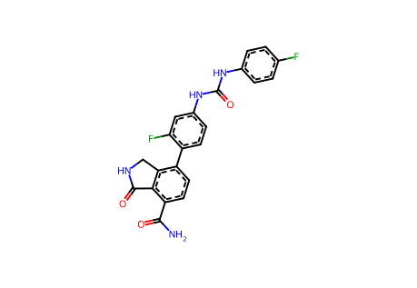 NC(=O)c1ccc(-c2ccc(NC(=O)Nc3ccc(F)cc3)cc2F)c2c1C(=O)NC2